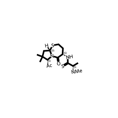 CN[C@@H](C)C(=S)N[C@H]1CCS[C@H]2CC(C)(C)[C@@H](C(C)=O)N2C1=O